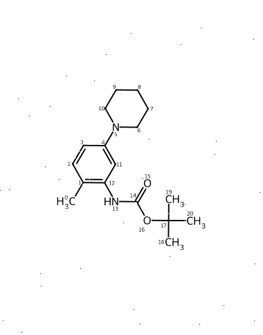 Cc1ccc(N2CCCCC2)cc1NC(=O)OC(C)(C)C